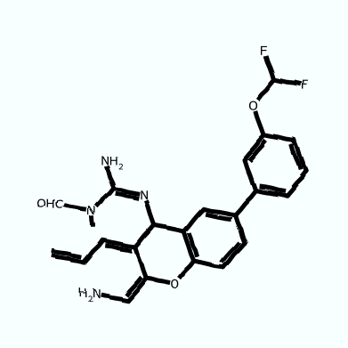 C=C/C=C1\C(=C/N)Oc2ccc(-c3cccc(OC(F)F)c3)cc2C1/N=C(/N)N(C)C=O